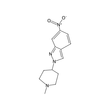 CN1CCC(n2cc3ccc([N+](=O)[O-])cc3n2)CC1